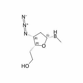 CB[C@H]1C[C@@H](N=[N+]=[N-])[C@@H](CCO)O1